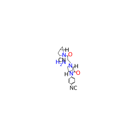 [C-]#[N+]c1ccc(N2C(=O)[C@@H]3C[C@H]2CN3C[C@H](N)C(=O)N2[C@H](C#N)CC3C[C@@H]32)cc1